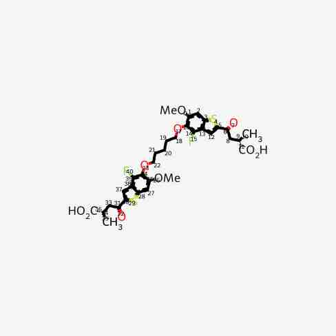 COc1cc2sc(C(=O)C[C@H](C)C(=O)O)cc2c(F)c1OCCCCCOc1c(OC)cc2sc(C(=O)C[C@H](C)C(=O)O)cc2c1F